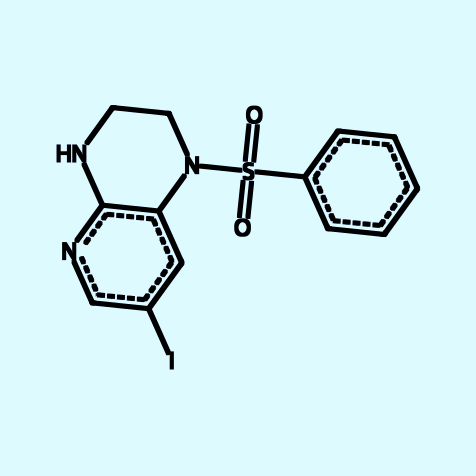 O=S(=O)(c1ccccc1)N1CCNc2ncc(I)cc21